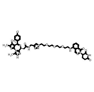 Cc1sc2c(c1C)C(c1ccc(Cl)cc1)=N[C@@H](CC(=O)NCc1cn(CCOCCOCCOCCNc3cccc4c(=O)n(C5CCC(=O)NC5=O)ncc34)nn1)c1n[nH]c(C)[n+]1-2